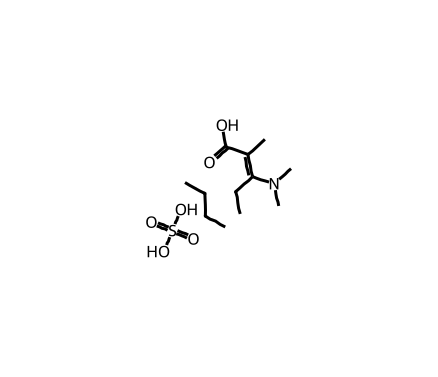 CC/C(=C(/C)C(=O)O)N(C)C.CCCC.O=S(=O)(O)O